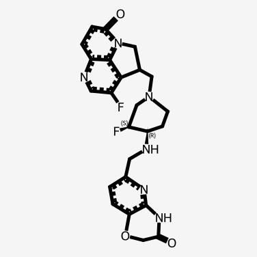 O=C1COc2ccc(CN[C@@H]3CCN(CC4Cn5c(=O)ccc6ncc(F)c4c65)C[C@@H]3F)nc2N1